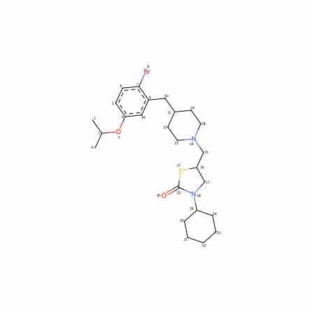 CC(C)Oc1ccc(Br)c(CC2CCN(CC3CN(C4CCCCC4)C(=O)S3)CC2)c1